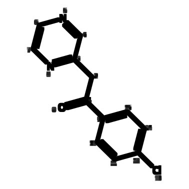 O=C(Cc1cnccn1)c1ccc(Cl)cc1